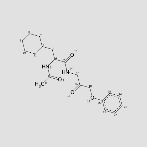 CC(=O)NC(CC1CCCCC1)C(=O)NCC(=O)COc1ccccc1